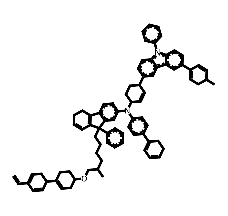 C=CC1=CCC(C2=CCC(OCC(C)CCCCC3(c4ccccc4)C4=C(CCC=C4)c4ccc(N(c5ccc(C6=CC=CCC6)cc5)C5C=CC(c6ccc7c(c6)c6cc(C8=CCC(C)C=C8)ccc6n7-c6ccccc6)CC5)cc43)CC2)C=C1